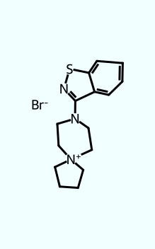 [Br-].c1ccc2c(N3CC[N+]4(CCCC4)CC3)nsc2c1